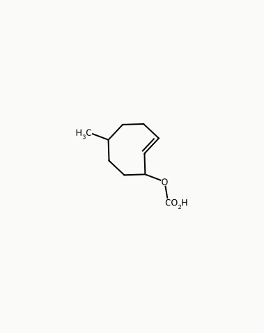 CC1CC/C=C/C(OC(=O)O)CC1